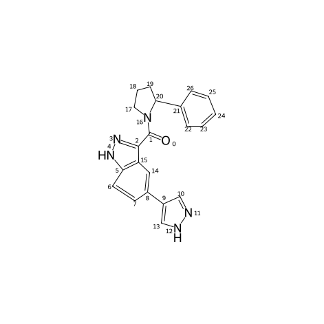 O=C(c1n[nH]c2ccc(-c3cn[nH]c3)cc12)N1CCCC1c1ccccc1